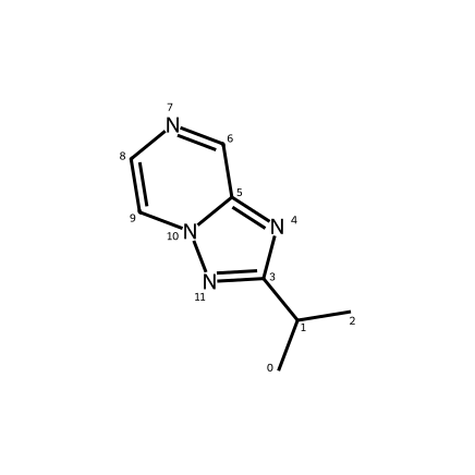 CC(C)c1nc2cnccn2n1